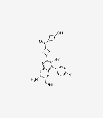 CC(C)c1c(C2CC(C(=O)N3CC(O)C3)C2)nc2cc(N)c(C=N)cc2c1-c1ccc(F)cc1